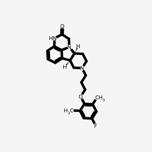 Cc1cc(F)cc(C)c1OCCCN1CC[C@H]2[C@@H](C1)c1cccc3c1N2CC(=O)N3